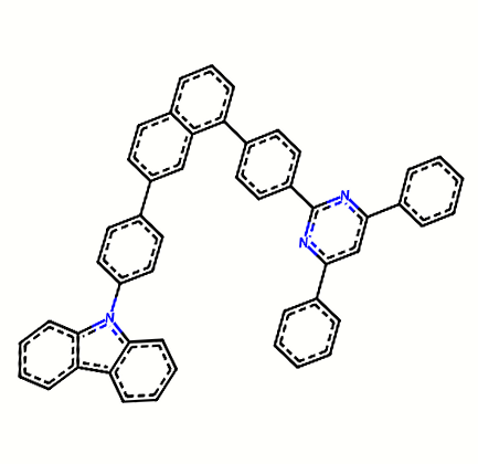 c1ccc(-c2cc(-c3ccccc3)nc(-c3ccc(-c4cccc5ccc(-c6ccc(-n7c8ccccc8c8ccccc87)cc6)cc45)cc3)n2)cc1